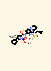 CO[C@]1(c2ccccc2)C[C@@H](C(=O)Nc2cc([C@](CCC3CC3)(N[S@@+]([O-])C(C)(C)C)c3ccccn3)ccc2F)N(C(=O)OC(C)(C)C)C1